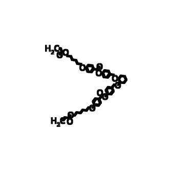 C=CC(=O)OCCCCCCOc1ccc(C(=O)Oc2ccc(CO[C@@H]3CCCC[C@H]3OCc3ccc(OC(=O)c4ccc(OCCCCCCOC(=O)C=C)cc4)cc3)cc2)cc1